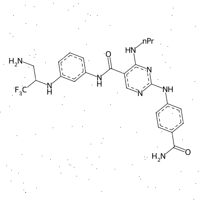 CCCNc1nc(Nc2ccc(C(N)=O)cc2)ncc1C(=O)Nc1cccc(NC(CN)C(F)(F)F)c1